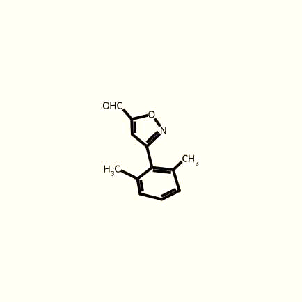 Cc1cccc(C)c1-c1cc(C=O)on1